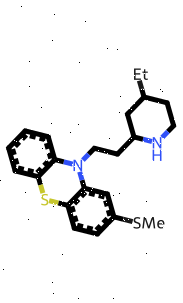 CCC1CCNC(CCN2c3ccccc3Sc3ccc(SC)cc32)C1